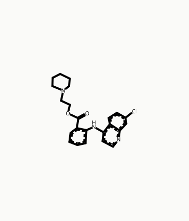 O=C(OCCN1CCCCC1)c1ccccc1Nc1ccnc2cc(Cl)ccc12